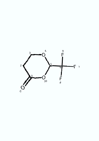 O=C1CCOC(C(F)(F)F)O1